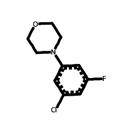 Fc1cc(Cl)cc(N2CCOCC2)c1